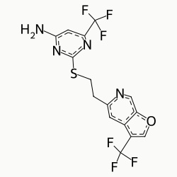 Nc1cc(C(F)(F)F)nc(SCCc2cc3c(C(F)(F)F)coc3cn2)n1